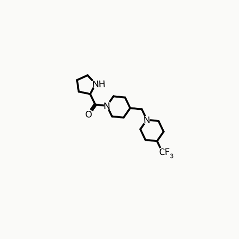 O=C(C1CCCN1)N1CCC(CN2CCC(C(F)(F)F)CC2)CC1